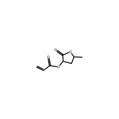 C=CC(=O)OC1CC(C)OC1=O